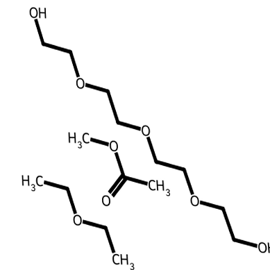 CCOCC.COC(C)=O.OCCOCCOCCOCCO